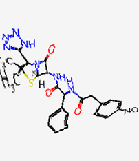 CC1(C)S[C@@H]2C(NC(=O)C(NC(=O)Cc3ccc([N+](=O)[O-])cc3)c3ccccc3)C(=O)N2C1c1nnn[nH]1